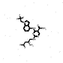 NC(=O)c1cnc(NC[C@@H](N)CC(F)F)nc1Nc1cccc2c1ccn2CC(F)(F)F